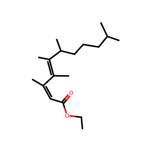 CCOC(=O)C=C(C)C(C)=C(C)C(C)CCCC(C)C